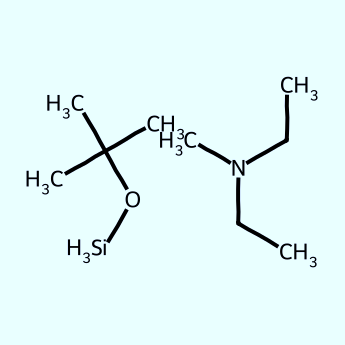 CC(C)(C)O[SiH3].CCN(C)CC